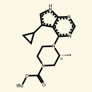 C[C@@H]1CN(C(=O)OC(C)(C)C)CCN1c1ncnc2[nH]cc(C3CC3)c12